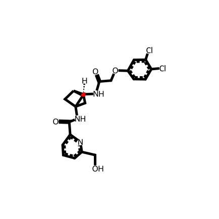 O=C(COc1ccc(Cl)c(Cl)c1)N[C@H]1CC2(NC(=O)c3cccc(CO)n3)CC1C2